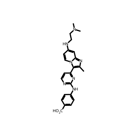 Cc1nc2cc(NCCN(C)C)ccn2c1-c1ccnc(Nc2ccc(C(=O)O)cc2)n1